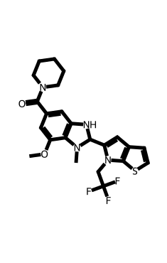 COc1cc(C(=O)N2CCCCC2)cc2c1N(C)C(c1cc3ccsc3n1CC(F)(F)F)N2